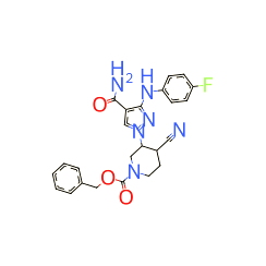 N#CC1CCN(C(=O)OCc2ccccc2)CC1n1cc(C(N)=O)c(Nc2ccc(F)cc2)n1